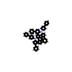 c1ccc(-c2ccc(N(c3ccc(-c4ccccc4)cc3)c3ccc4c(c3)C3(c5ccccc5-4)c4ccccc4-c4c(N(c5ccc(-c6ccccc6)cc5)c5ccc(-c6ccccc6)cc5)cccc43)cc2)cc1